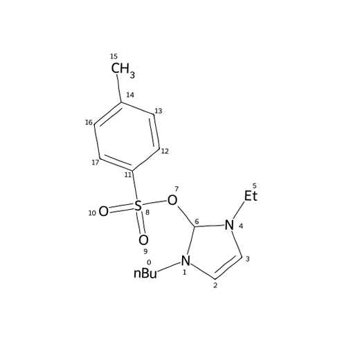 CCCCN1C=CN(CC)C1OS(=O)(=O)c1ccc(C)cc1